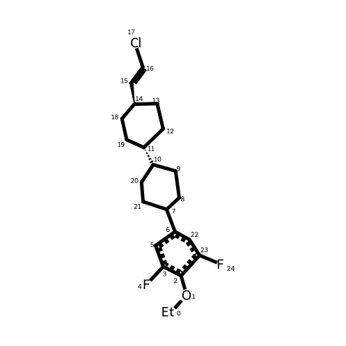 CCOc1c(F)cc(C2CCC([C@H]3CC[C@H](/C=C/Cl)CC3)CC2)cc1F